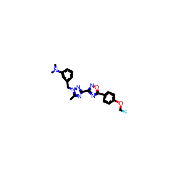 Cc1nc(-c2noc(-c3ccc(OCF)cc3)n2)nn1Cc1cccc(N(C)C)c1